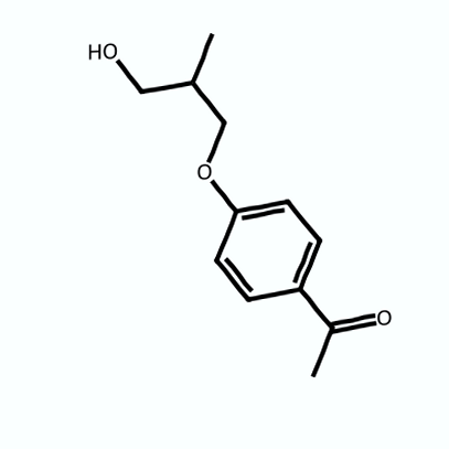 CC(=O)c1ccc(OCC(C)CO)cc1